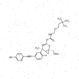 COC[C@]12CC1[C@@](C)(c1cc(C#Cc3ccc(C#N)cn3)ccc1F)N=C(OC(=O)NCOCC[Si](C)(C)C)S2